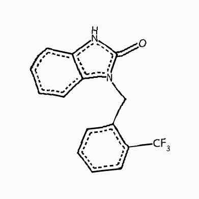 O=c1[nH]c2ccccc2n1Cc1ccccc1C(F)(F)F